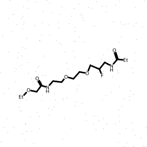 CCOCC(=O)NCCOCCOCC(F)CNC(=O)CC